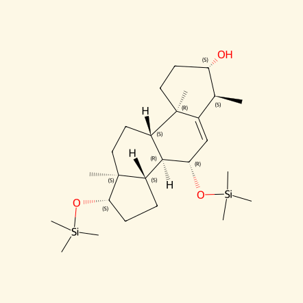 C[C@H]1C2=C[C@H](O[Si](C)(C)C)[C@H]3[C@@H]4CC[C@H](O[Si](C)(C)C)[C@@]4(C)CC[C@@H]3[C@@]2(C)CC[C@@H]1O